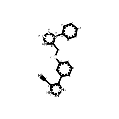 N#Cc1[nH]nnc1-c1cccc(OCc2nnnn2-c2ccccc2)c1